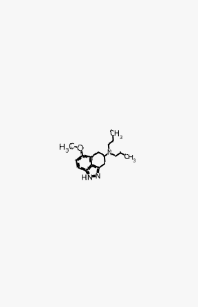 CCCN(CCC)C1Cc2n[nH]c3ccc(OC)c(c23)C1